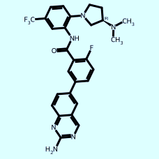 CN(C)[C@@H]1CCN(c2ccc(C(F)(F)F)cc2NC(=O)c2cc(-c3ccc4nc(N)ncc4c3)ccc2F)C1